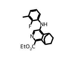 CCOC(=O)c1ncc(Nc2cccc(C)c2F)c2c1C1CCC2CC1